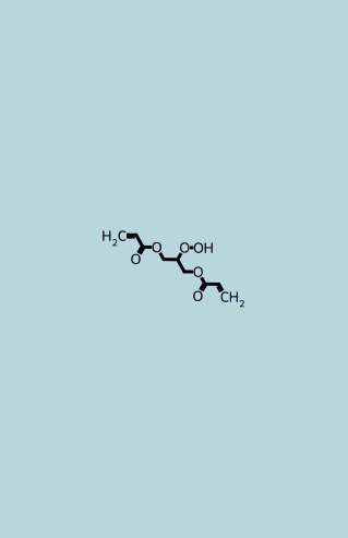 C=CC(=O)OCC(COC(=O)C=C)OO